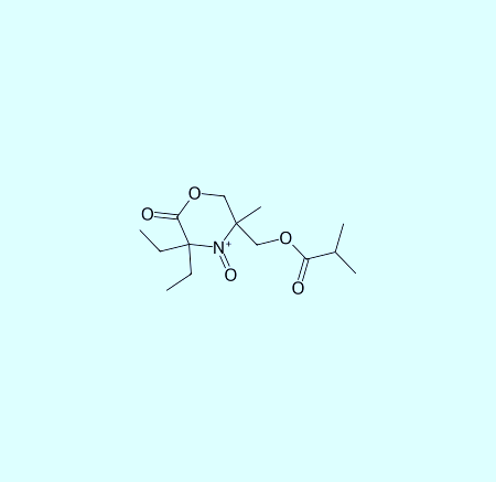 CCC1(CC)C(=O)OCC(C)(COC(=O)C(C)C)[N+]1=O